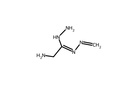 C=N/N=C(/CN)NN